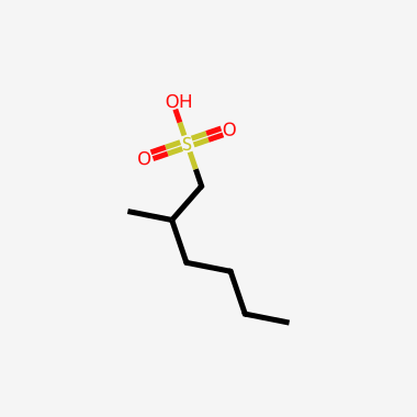 CCCCC(C)CS(=O)(=O)O